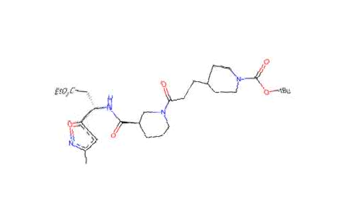 CCOC(=O)C[C@H](NC(=O)[C@@H]1CCCN(C(=O)CCC2CCN(C(=O)OC(C)(C)C)CC2)C1)c1cc(C)no1